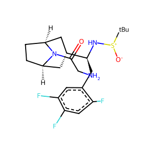 CC(C)(C)[S+]([O-])N[C@@H](Cc1cc(F)c(F)cc1F)[C@@H]1C[C@H]2CC[C@@H](C1)N2C(=O)CN